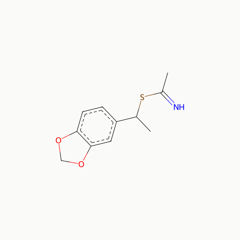 CC(=N)SC(C)c1ccc2c(c1)OCO2